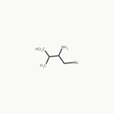 CCC(C)CC(N)C(C)C(=O)O